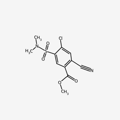 COC(=O)c1cc(S(=O)(=O)N(C)C)c(Cl)cc1C#N